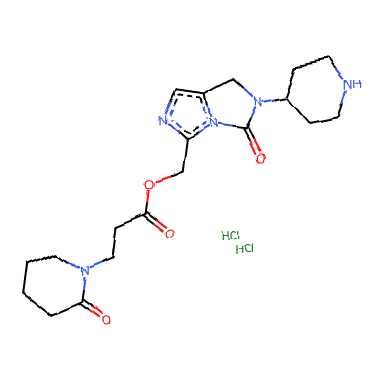 Cl.Cl.O=C(CCN1CCCCC1=O)OCc1ncc2n1C(=O)N(C1CCNCC1)C2